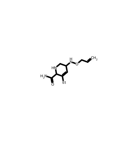 C=CCONC1C=C(CC)C(C(N)=O)NC1